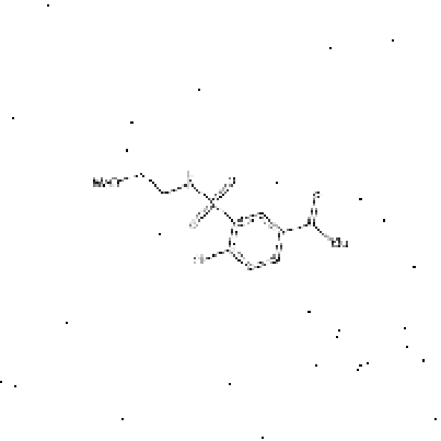 COCCNS(=O)(=O)c1cc(C(=O)C(C)(C)C)ccc1Cl